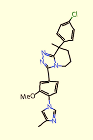 COc1cc(-c2nnc3n2CCCC3(C)c2ccc(Cl)cc2)ccc1-n1cnc(C)c1